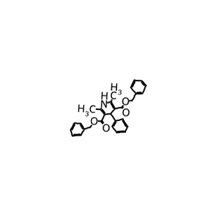 CC1=C(C(=O)OCc2ccccc2)C(c2ccccc2)C(C(=O)OCc2ccccc2)=C(C)N1